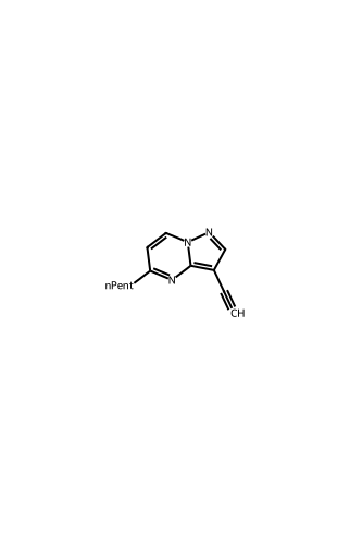 C#Cc1cnn2ccc(CCCCC)nc12